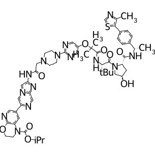 Cc1ncsc1-c1ccc([C@H](C)NC(=O)[C@@H]2C[C@@H](O)CN2C(=O)[C@@H](NC(=O)C(C)(C)Oc2cnc(N3CCN(CC(=O)Nc4cn5cc(-c6cnc7c(c6)N(C(=O)OC(C)C)CCO7)ncc5n4)CC3)nc2)C(C)(C)C)cc1